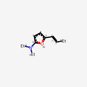 CC/C=C/c1ccc(N(CC)CC)o1